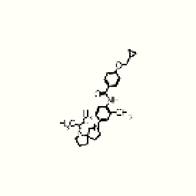 Cc1cc(N2CCC3(CCCN3C(C)C)C2)ccc1NC(=O)c1ccc(OCC2CC2)cc1